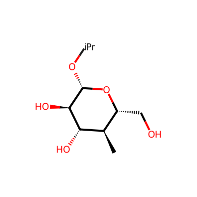 CC(C)O[C@@H]1O[C@H](CO)[C@@H](C)[C@H](O)[C@H]1O